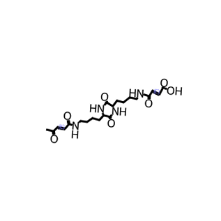 CC(=O)/C=C/C(=O)NCCCCC1NC(=O)C(CCCCNC(=O)/C=C/C(=O)O)NC1=O